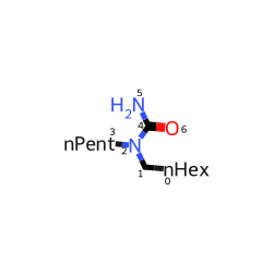 CCCCCCCN(CCCCC)C(N)=O